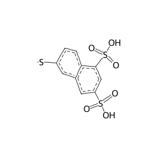 O=S(=O)(O)c1cc(S(=O)(=O)O)c2ccc([S])cc2c1